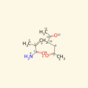 C=C(C)C(N)=O.CC(=O)CCC(C)=O